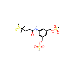 CN(C(=O)CCC(C)(C)S(C)=S)c1cc(COS(C)(=O)=O)cc(COS(C)(=O)=O)c1